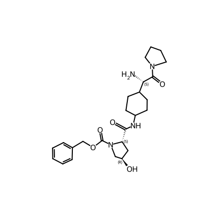 N[C@H](C(=O)N1CCCC1)C1CCC(NC(=O)[C@@H]2C[C@@H](O)CN2C(=O)OCc2ccccc2)CC1